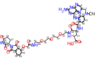 CN(Cc1cnc2nc(N)nc(N)c2n1)c1ccc(C(=O)N[C@@H](CCC(=O)O)C(=O)NCCOCCOCCOCCNC(=O)COc2cccc3c2C(=O)N(C2CCC(=O)NC2=O)C3=O)cc1